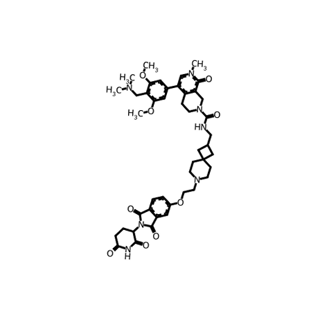 COc1cc(-c2cn(C)c(=O)c3c2CCN(C(=O)NCC2CC4(CCN(CCOc5ccc6c(c5)C(=O)N(C5CCC(=O)NC5=O)C6=O)CC4)C2)C3)cc(OC)c1CN(C)C